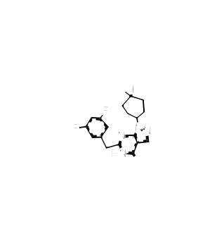 CC1(F)CCC(n2ncc3c(=O)[nH]c(Cc4cc(F)cc(F)c4)nc32)CC1